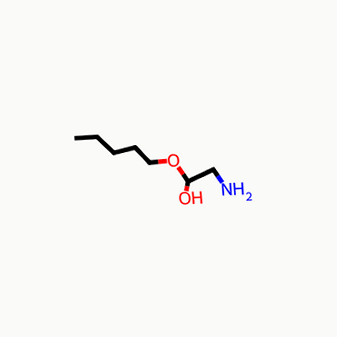 CCCCCOC(O)CN